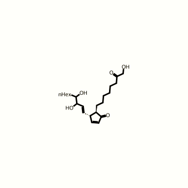 CCCCCCC(O)C(O)/C=C/[C@H]1C=CC(=O)[C@@H]1CCCCCCC(=O)CO